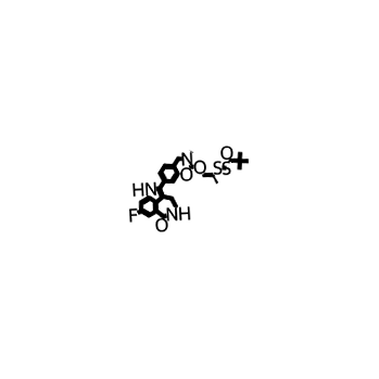 C[C@@H](COC(=O)N(C)Cc1ccc(-c2[nH]c3cc(F)cc4c3c2CCNC4=O)cc1)SSC(=O)C(C)(C)C